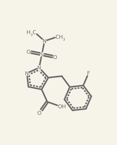 CN(C)S(=O)(=O)n1ncc(C(=O)O)c1Cc1ccccc1F